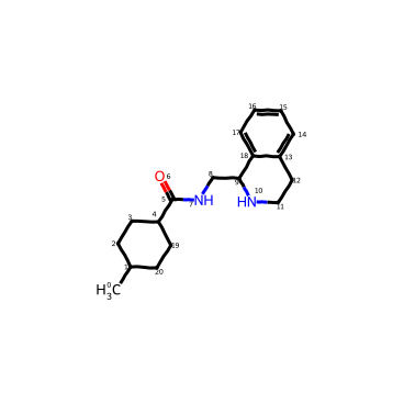 CC1CCC(C(=O)NCC2NCCc3ccccc32)CC1